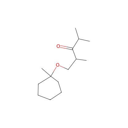 CC(C)C(=O)C(C)COC1(C)CCCCC1